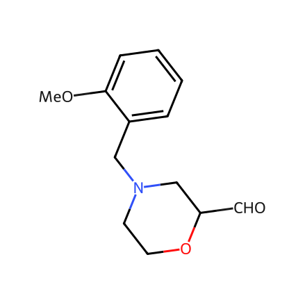 COc1ccccc1CN1CCOC(C=O)C1